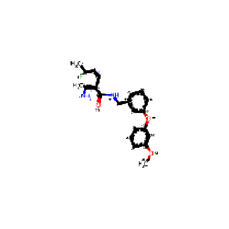 C/C(N)=C(\C=C/C(C)F)C(=O)NCc1cccc(Oc2cccc(OC(F)(F)F)c2)c1